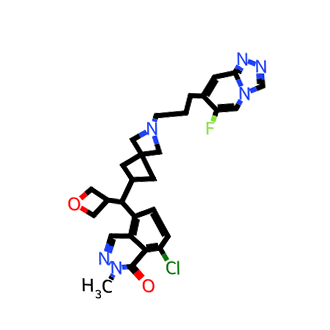 Cn1ncc2c(C(C3COC3)C3CC4(C3)CN(CCCc3cc5nncn5cc3F)C4)ccc(Cl)c2c1=O